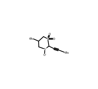 CC(C)(C)C#CC1[S+]([O-])CC(C(C)(C)C)CS1(=O)=O